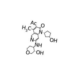 CC(=O)c1c(C)c2cnc(N[C@@H]3CCOC[C@H]3O)cc2n([C@@H]2CCC(O)C2)c1=O